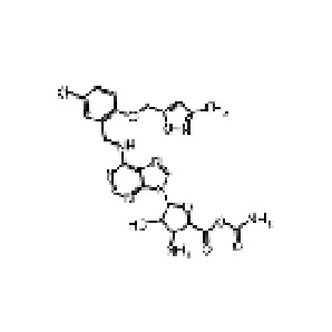 Cc1cc(COc2ccc(Cl)cc2CNc2ncnc3c2ncn3C2OC(C(=O)OC(N)=O)C(N)C2O)on1